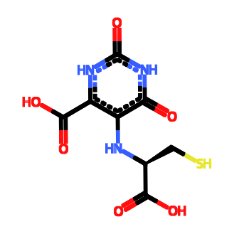 O=C(O)c1[nH]c(=O)[nH]c(=O)c1N[C@@H](CS)C(=O)O